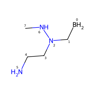 BCN(CCN)NC